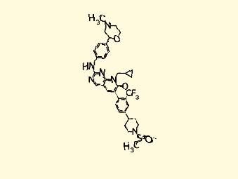 CN1CCOC(c2ccc(Nc3ncc4cc(-c5ccc(C6CCN([S+](C)[O-])CC6)cc5C(F)(F)F)c(=O)n(CC5CC5)c4n3)cc2)C1